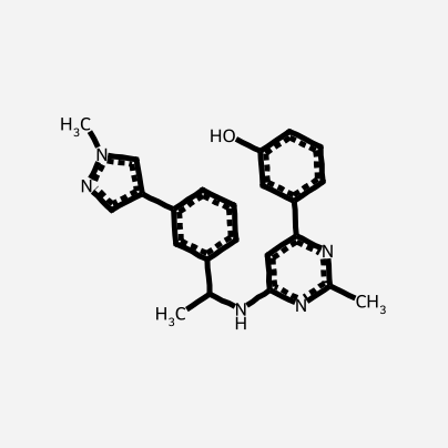 Cc1nc(NC(C)c2cccc(-c3cnn(C)c3)c2)cc(-c2cccc(O)c2)n1